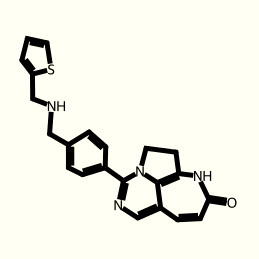 O=C1C=CC2=CN=C(c3ccc(CNCc4cccs4)cc3)N3CCC(=C23)N1